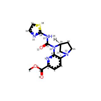 COC(=O)c1ccc2c(n1)N(C(=O)Nc1nccs1)[C@H]1CCN2C1